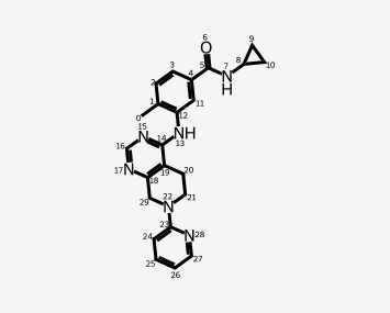 Cc1ccc(C(=O)NC2CC2)cc1Nc1ncnc2c1CCN(c1ccccn1)C2